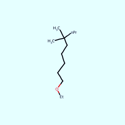 CCCC(C)(C)CCCCCOCC